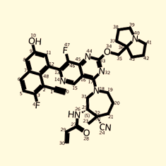 C#Cc1c(F)ccc2cc(O)cc(-c3ncc4c(N5CCC[C@](C)(C#N)[C@H](NC(=O)C=C)C5)nc(OCC56CCCN5CCC6)nc4c3F)c12